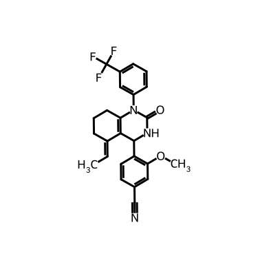 CC=C1CCCC2=C1C(c1ccc(C#N)cc1OC)NC(=O)N2c1cccc(C(F)(F)F)c1